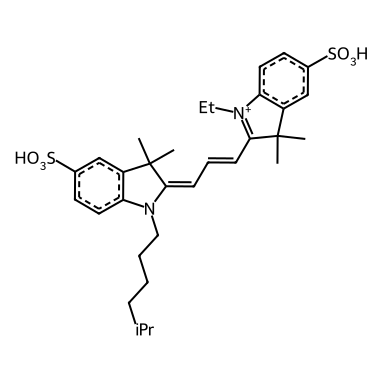 CC[N+]1=C(/C=C/C=C2/N(CCCCC(C)C)c3ccc(S(=O)(=O)O)cc3C2(C)C)C(C)(C)c2cc(S(=O)(=O)O)ccc21